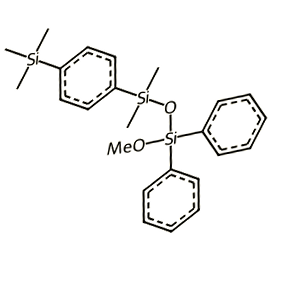 CO[Si](O[Si](C)(C)c1ccc([Si](C)(C)C)cc1)(c1ccccc1)c1ccccc1